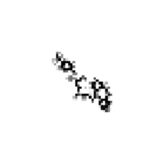 COC(=O)c1ccc(CNC(=O)CCN(C)CCCN2c3ccccc3CCc3ccccc32)cc1